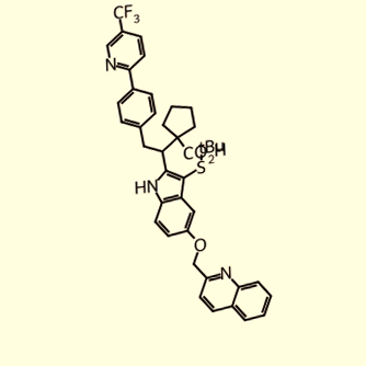 CC(C)(C)Sc1c(C(Cc2ccc(-c3ccc(C(F)(F)F)cn3)cc2)C2(C(=O)O)CCCC2)[nH]c2ccc(OCc3ccc4ccccc4n3)cc12